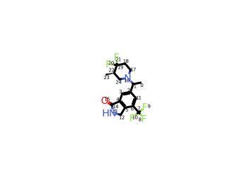 CC(c1cc2c(c(C(F)(F)F)c1)CNC2=O)N1CCC(F)(F)[C@H](C)C1